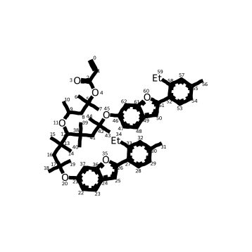 C=CC(=O)OC(C)(C)CC(C)OC(C(C)(C)CC(C)(C)Oc1ccc2cc(-c3ccc(C)cc3CC)oc2c1)C(C)(C)CC(C)(C)Oc1ccc2cc(-c3ccc(C)cc3CC)oc2c1